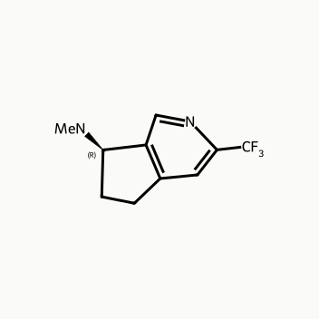 CN[C@@H]1CCc2cc(C(F)(F)F)ncc21